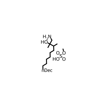 CCCCCCCCCCCCCCCCC(C)C(C)(O)CN.COS(=O)(=O)O